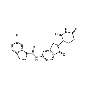 O=C1CCC(N2Cc3cc(NC(=O)N4CCc5ccc(F)cc54)ccc3C2=O)C(=O)N1